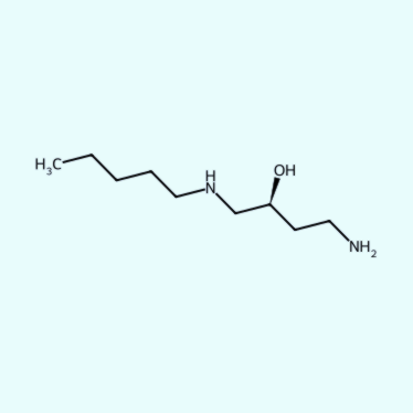 CCCCCNC[C@@H](O)CCN